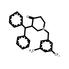 O=C1CCN(Cc2cc(C(F)(F)F)cc(C(F)(F)F)c2)CC1C(c1ccccc1)c1ccccc1